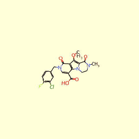 COc1c2n(c3c(C(=O)O)cn(Cc4ccc(F)c(Cl)c4)c(=O)c13)CCN(C)C2=O